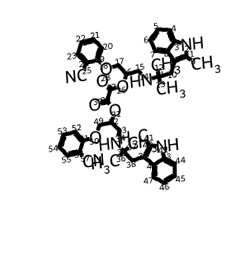 Cc1[nH]c2ccccc2c1CC(C)(C)NCC(COc1ccccc1C#N)OC(=O)C(=O)OC(CNC(C)(C)Cc1c(C)[nH]c2ccccc12)COc1ccccc1C#N